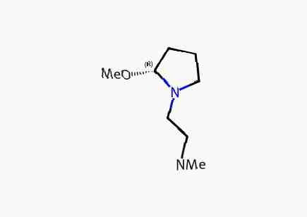 CNCCN1CCC[C@H]1OC